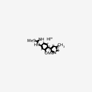 COc1cc(NC(=N)SC)ccc1-c1cnnc(C)c1.I